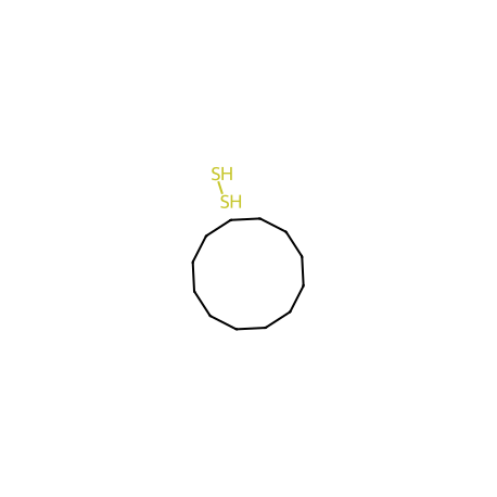 C1CCCCCCCCCCC1.SS